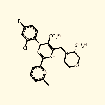 CCOC(=O)C1=C(CN2CCOC[C@H]2C(=O)O)NC(c2cccc(C)n2)=N[C@H]1c1ccc(F)cc1Cl